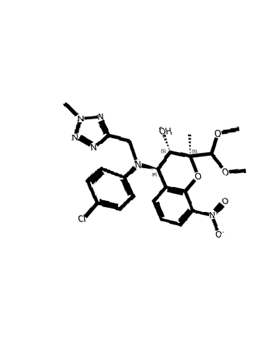 COC(OC)[C@@]1(C)Oc2c(cccc2[N+](=O)[O-])[C@@H](N(Cc2nnn(C)n2)c2ccc(Cl)cc2)[C@@H]1O